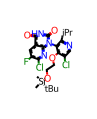 CC(C)c1ncc(Cl)c(OCCO[Si](C)(C)C(C)(C)C)c1-n1c(=O)[nH]c(=O)c2cc(F)c(Cl)nc21